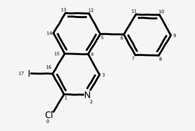 Clc1ncc2c(-c3ccccc3)cccc2c1I